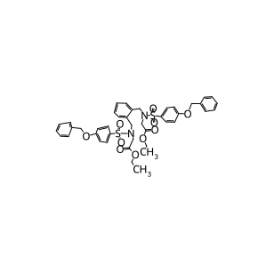 CCOC(=O)CN(Cc1ccccc1CN(CC(=O)OCC)S(=O)(=O)c1ccc(OCc2ccccc2)cc1)S(=O)(=O)c1ccc(OCc2ccccc2)cc1